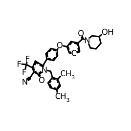 Cc1ccc(Cn2c(-c3ccc(Oc4cccc(C(=O)N5CCCC(O)C5)c4)cc3)cc(C(F)(F)F)c(C#N)c2=O)c(C)c1